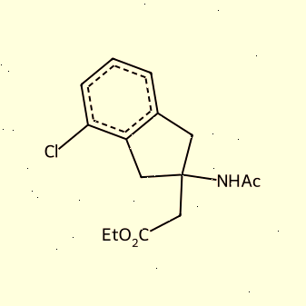 CCOC(=O)CC1(NC(C)=O)Cc2cccc(Cl)c2C1